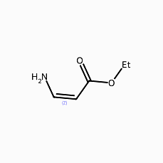 CCOC(=O)/C=C\N